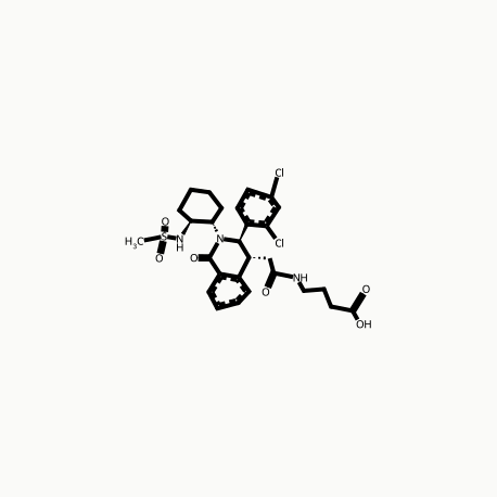 CS(=O)(=O)N[C@H]1CCCC[C@@H]1N1C(=O)c2ccccc2[C@@H](CC(=O)NCCCC(=O)O)[C@@H]1c1ccc(Cl)cc1Cl